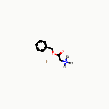 CC[N+](CC)(CC)CC(=O)OCc1ccccc1.[Br-]